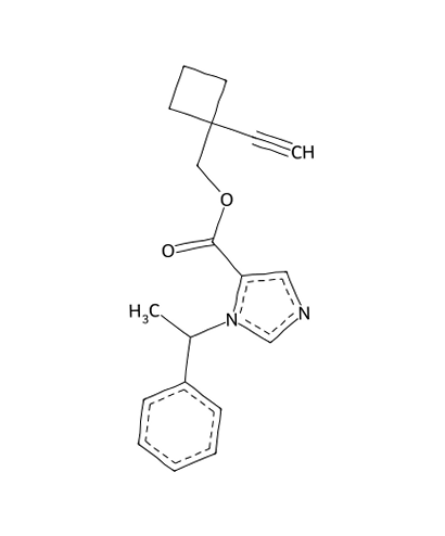 C#CC1(COC(=O)c2cncn2C(C)c2ccccc2)CCC1